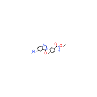 CCONC(=O)c1ccc(C)c(-n2cnc3ccc(CN(C)C)cc3c2=O)c1